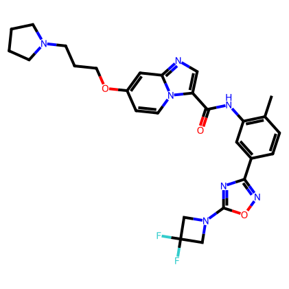 Cc1ccc(-c2noc(N3CC(F)(F)C3)n2)cc1NC(=O)c1cnc2cc(OCCCN3CCCC3)ccn12